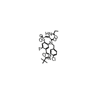 CCC(=O)NC1=CS(=O)(=O)c2cc(F)c(-c3nnc(C(C)(C)C)o3)cc2N(Cc2ccc(Cl)cc2)C1=O